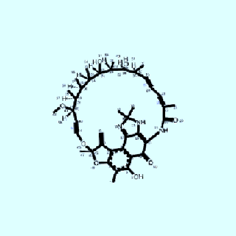 C=C1c2c3c(C)c(O)c4c2C2=NC(C)(C)NC2=C(NC(=O)/C(C)=C\C=C\[C@H](C)[C@H](O)[C@@H](C)[C@@H](O)[C@@H](C)[C@H](C)[C@H](C)[C@@H](OC)/C=C/O[C@@]1(C)O3)C4=O